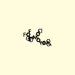 CCOC(=O)N1CCN(Cc2ccc([C@@H](c3ccc(Cl)cc3)N3CC(=C(c4cc(F)cc(F)c4)S(C)(=O)=O)C3)cc2)CC1